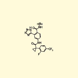 CC[C@H](C)NC(=O)c1ccc(NC(=O)C2(c3ccc(C(F)(F)F)cc3F)CC2)cc1-c1nnn[nH]1